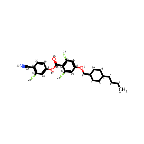 CCCCC1CCC(COc2cc(F)c(C(=O)Oc3ccc(C#N)c(F)c3)c(F)c2)CC1